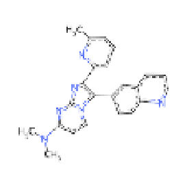 Cc1cccc(-c2nc3nc(N(C)C)ccn3c2-c2ccc3ncccc3c2)n1